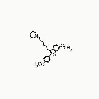 COc1ccc(-c2sc3cc(OC)ccc3c2CCCCCCN2CCCCC2)cc1